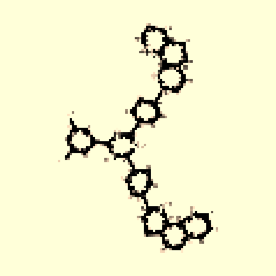 Fc1cc(F)cc(-c2nc(-c3ccc(-c4ccc5ccc6cccnc6c5n4)cc3)nc(-c3ccc(-c4ccc5ccc6cccnc6c5n4)cc3)n2)c1